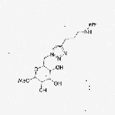 CCCNCCCc1cn(CC2OC(OC)C(O)C(O)C2O)nn1